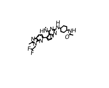 CNc1nc(NC2CCC(NC(C)=O)CC2)nn2ccc(-c3ccc4nc(C)n(CC(F)F)c4n3)c12